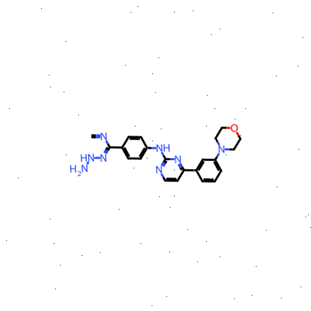 C=N/C(=N\NN)c1ccc(Nc2nccc(-c3cccc(N4CCOCC4)c3)n2)cc1